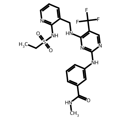 CCS(=O)(=O)Nc1ncccc1CNc1nc(Nc2cccc(C(=O)NC)c2)ncc1C(F)(F)F